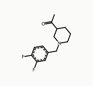 CC(=O)C1CCCN(Cc2ccc(F)c(F)c2)C1